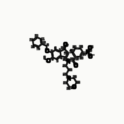 COc1cc2c(cc1OCc1ccccc1)C(=O)c1c-2n(CCCN2CCOCC2)c(=O)c2cc([N+](=O)[O-])ccc12